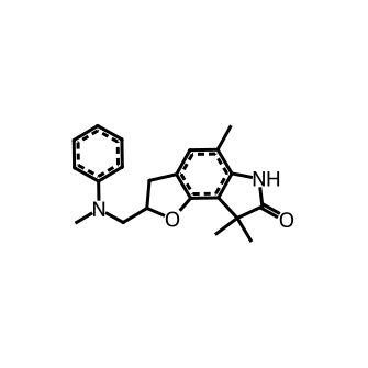 Cc1cc2c(c3c1NC(=O)C3(C)C)OC(CN(C)c1ccccc1)C2